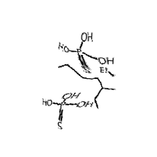 CCC.CCCCC(C)CC.OP(O)(O)=S.OP(O)(O)=S